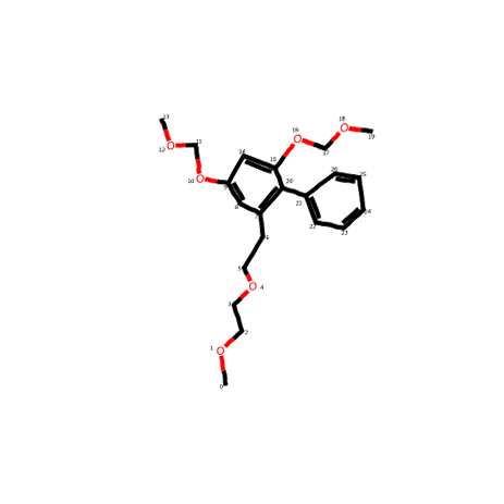 COCCOCCc1cc(OCOC)cc(OCOC)c1-c1ccccc1